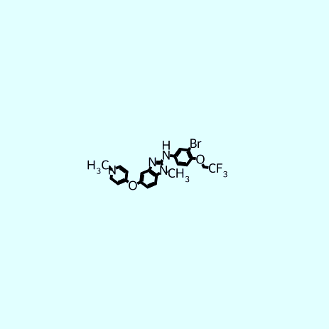 CN1C=CC(Oc2ccc3c(c2)nc(Nc2ccc(OCC(F)(F)F)c(Br)c2)n3C)=CC1